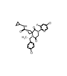 C[C@@H](c1ccc(Cl)cc1)N1C(=O)CN(c2ncc(Cl)cc2F)C(=O)C12CN(C(=O)NC1CC1)C2